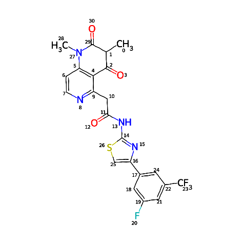 CC1C(=O)c2c(ccnc2CC(=O)Nc2nc(-c3cc(F)cc(C(F)(F)F)c3)cs2)N(C)C1=O